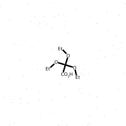 CCOC(OCC)(OCC)C(=O)O